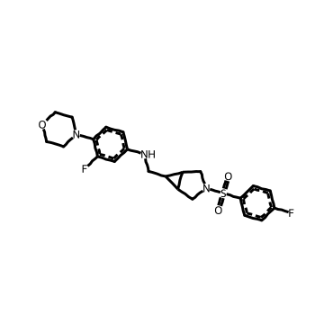 O=S(=O)(c1ccc(F)cc1)N1CC2C(CNc3ccc(N4CCOCC4)c(F)c3)C2C1